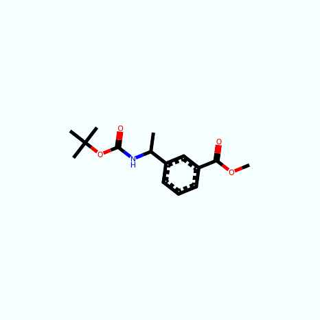 COC(=O)c1cccc(C(C)NC(=O)OC(C)(C)C)c1